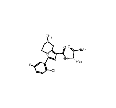 CNC(=O)[C@@H](NC(=O)c1nc(-c2cc(F)ccc2Cl)n2c1CN(C)CC2)C(C)(C)C